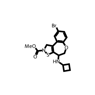 COC(=O)N1CC2=C(S1)C(NC1CCC1)COc1ccc(Br)cc12